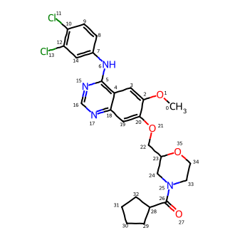 COc1cc2c(Nc3ccc(Cl)c(Cl)c3)ncnc2cc1OCC1CN(C(=O)C2CCCC2)CCO1